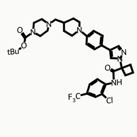 CC(C)(C)OC(=O)N1CCN(CC2CCN(c3ccc(-c4cnn(C5(C(=O)Nc6ccc(C(F)(F)F)cc6Cl)CCC5)c4)cc3)CC2)CC1